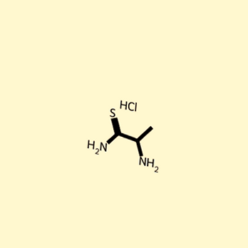 CC(N)C(N)=S.Cl